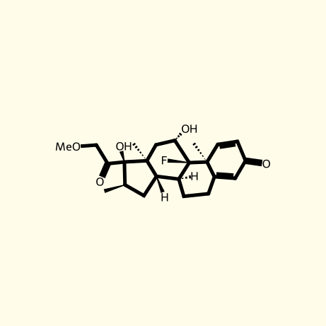 COCC(=O)[C@@]1(O)[C@H](C)C[C@H]2[C@@H]3CCC4=CC(=O)C=C[C@]4(C)[C@@]3(F)[C@@H](O)C[C@@]21C